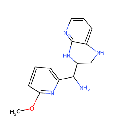 COc1cccc(C(N)C2CNc3cccnc3N2)n1